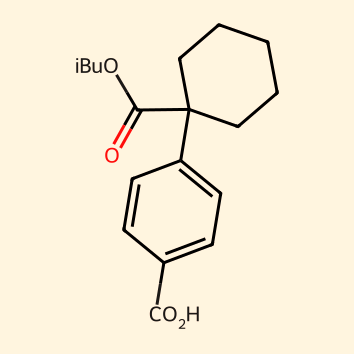 CC(C)COC(=O)C1(c2ccc(C(=O)O)cc2)CCCCC1